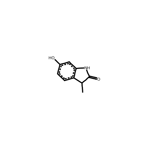 CC1C(=O)Nc2cc(O)ccc21